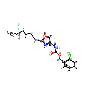 CC(F)(F)CCCCc1nc(NC(=O)OCc2ccccc2Cl)co1